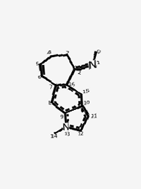 C/N=C1\CCC=Cc2cc3c(ccn3C)cc21